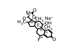 CCC(=O)O[C@]1(C([O-])=S)[C@H](C)CC2C3C[C@H](F)C4=CC(=O)C=C[C@]4(C)[C@@]3(F)[C@@H](O)C[C@@]21C.[Na+]